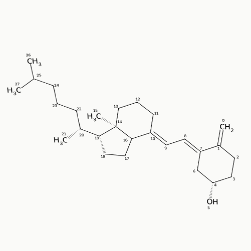 C=C1CC[C@H](O)C/C1=C\C=C1/CCC[C@@]2(C)C1CC[C@@H]2[C@H](C)CCCC(C)C